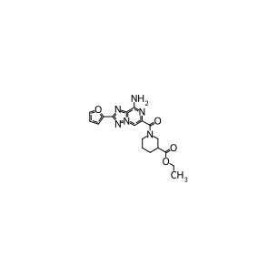 CCOC(=O)C1CCCN(C(=O)c2cn3nc(-c4ccco4)nc3c(N)n2)C1